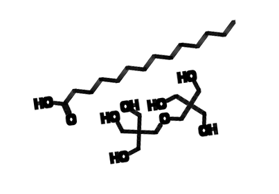 CCCCCCCCCCCCCC(=O)O.OCC(CO)(CO)COCC(CO)(CO)CO